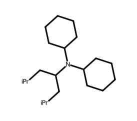 CC(C)CC(CC(C)C)N(C1CCCCC1)C1CCCCC1